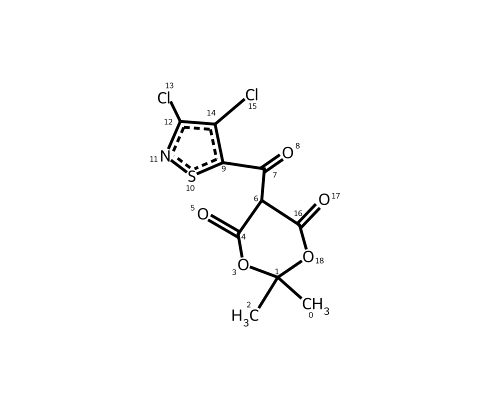 CC1(C)OC(=O)C(C(=O)c2snc(Cl)c2Cl)C(=O)O1